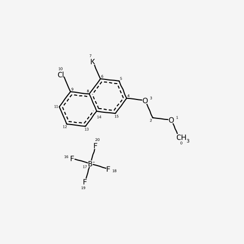 COCOc1c[c]([K])c2c(Cl)cccc2c1.F[B-](F)(F)F